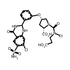 CCN(CCC(=O)O)C(=O)N1C[C@@H](Oc2cccc(C3NC(=O)c4cc(S(N)(=O)=O)c(Cl)cc4N3)c2)C[C@H]1C(=O)O